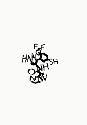 O=C(Nc1c[nH]nc1-c1cc(S)ccc1OC(F)F)c1cnn2cccnc12